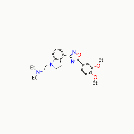 CCOc1ccc(-c2nc(-c3cccc4c3CCN4CCN(CC)CC)no2)cc1OCC